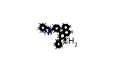 C=C1c2ccc3ccccc3c2C(c2cccc(-c3cnc4ccccc4c3)c2)=CC1c1ccccc1